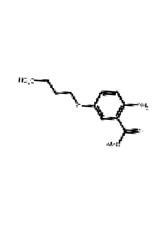 COC(=O)c1cc(OCCCC(=O)O)ccc1N